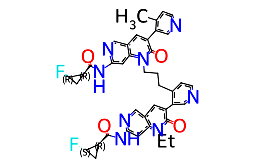 CCn1c(=O)c(-c2cnccc2CCCn2c(=O)c(-c3cnccc3C)cc3cnc(NC(=O)[C@H]4C[C@H]4F)cc32)cc2cnc(NC(=O)[C@H]3C[C@@H]3F)cc21